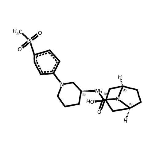 CS(=O)(=O)c1ccc(N2CCC[C@H](NC(=O)N3[C@@H]4CC[C@H]3C[C@@H](O)C4)C2)cc1